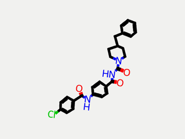 O=C(NC(=O)N1CCC(Cc2ccccc2)CC1)c1ccc(NC(=O)c2ccc(Cl)cc2)cc1